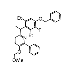 CCc1cc(OCc2ccccc2)c(F)c(CC)c1C(C)c1ccc(OCOC)c(-c2ccccc2)n1